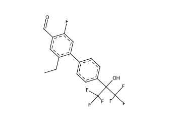 CCc1cc(C=O)c(F)cc1-c1ccc(C(O)(C(F)(F)F)C(F)(F)F)cc1